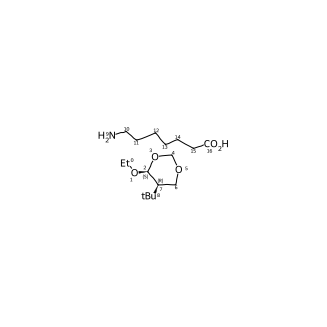 CCO[C@H]1OCOC[C@H]1C(C)(C)C.NCCCCCCC(=O)O